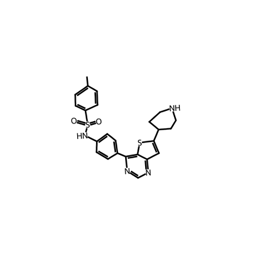 Cc1ccc(S(=O)(=O)Nc2ccc(-c3ncnc4cc(C5CCNCC5)sc34)cc2)cc1